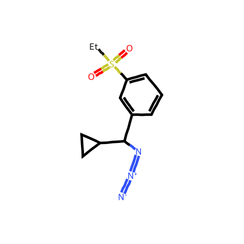 CCS(=O)(=O)c1cccc(C(N=[N+]=[N-])C2CC2)c1